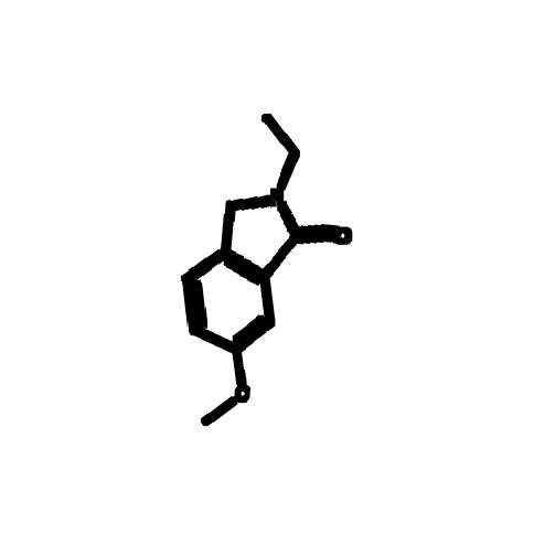 CCN1Cc2ccc(OC)cc2C1=O